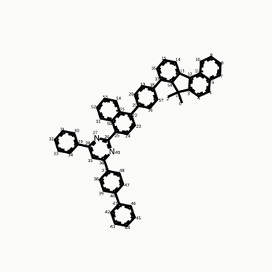 CC1(C)c2ccc3ccccc3c2-c2cccc(-c3ccc(-c4ccc(-c5nc(-c6ccccc6)cc(-c6ccc(-c7ccccc7)cc6)n5)c5ccccc45)cc3)c21